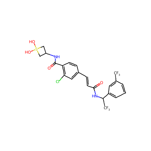 O=C(C=Cc1ccc(C(=O)NC2CS(O)(O)C2)c(Cl)c1)NC(c1cccc(C(F)(F)F)c1)C(F)(F)F